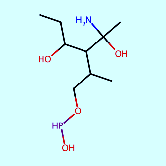 CCC(O)C(C(C)COPO)C(C)(N)O